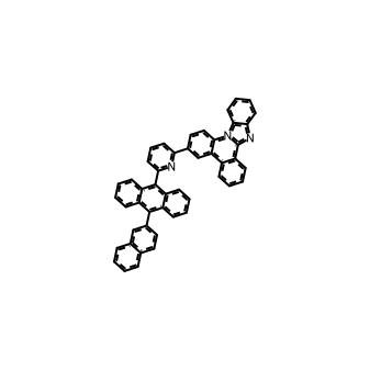 c1cc(-c2ccc3c(c2)c2ccccc2c2nc4ccccc4n32)nc(-c2c3ccccc3c(-c3ccc4ccccc4c3)c3ccccc23)c1